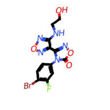 O=c1onc(-c2nonc2NCCO)n1-c1ccc(Br)c(F)c1